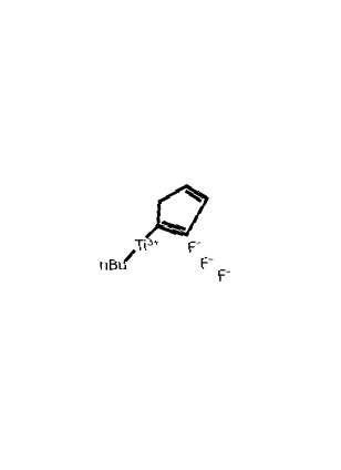 CCC[CH2][Ti+3][C]1=CC=CC1.[F-].[F-].[F-]